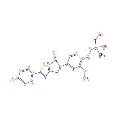 COc1cc(N2Cc3cc(-c4ncc(Cl)cn4)sc3C2=O)ccc1OCC(C)(O)CO